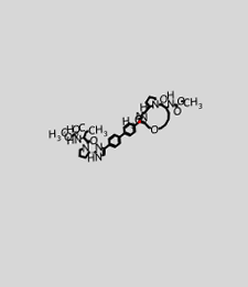 COC(=O)N[C@H]1CCCCOCc2c(-c3ccc(-c4ccc(-c5c[nH]c([C@@H]6CCCN6C(=O)[C@@H](NC(=O)OC)C(C)C)n5)cc4)cc3)nc(n2C)[C@@H]2CCCN2C1=O